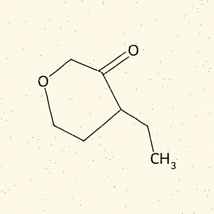 CCC1CCOCC1=O